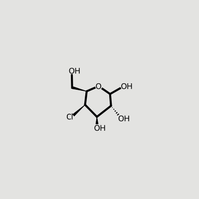 OC[C@H]1OC(O)[C@H](O)[C@@H](O)[C@H]1Cl